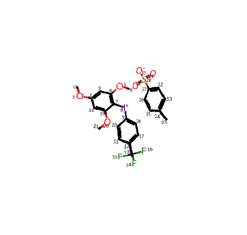 COc1cc(OC)c([I+]c2ccc(C(F)(F)F)cc2)c(OC)c1.Cc1ccc(S(=O)(=O)[O-])cc1